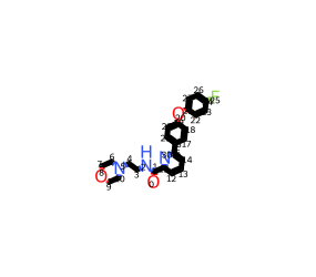 O=C(NCCN1CCOCC1)c1cccc(-c2ccc(Oc3ccc(F)cc3)cc2)n1